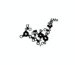 CSCl.ClC(Cl)(Cl)Sc1ccc(Br)cc1.ClC(Cl)Sc1ccc(Br)cc1.ClC(Cl)Sc1cnsc1.ClC(Cl)Sc1ncco1.Clc1cc(Cl)cc(SC(Cl)Cl)c1